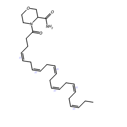 CC/C=C\C/C=C\C/C=C\C/C=C\C/C=C\C/C=C\CCC(=O)N1CCOCC1C(N)=O